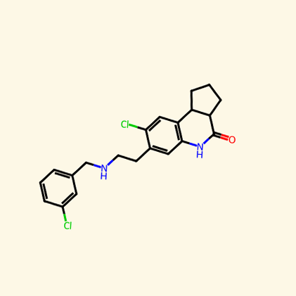 O=C1Nc2cc(CCNCc3cccc(Cl)c3)c(Cl)cc2C2CCCC12